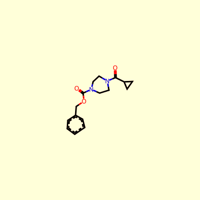 O=C(OCc1ccccc1)N1CCN(C(=O)C2CC2)CC1